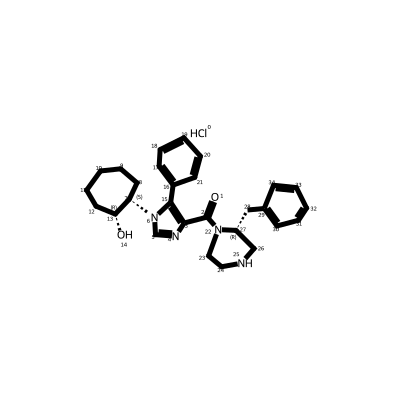 Cl.O=C(c1ncn([C@H]2CCCCC[C@H]2O)c1-c1ccccc1)N1CCNC[C@H]1Cc1ccccc1